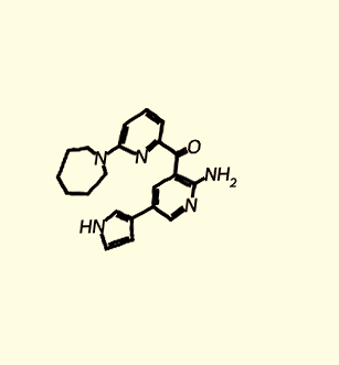 Nc1ncc(-c2cc[nH]c2)cc1C(=O)c1cccc(N2CCCCCC2)n1